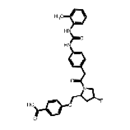 Cc1ccccc1NC(=O)Nc1ccc(CC(=O)N2C[C@@H](F)C[C@H]2COc2ccc(C(=O)O)cc2)cc1